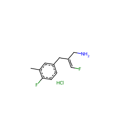 Cc1cc(CC(=CF)CN)ccc1F.Cl